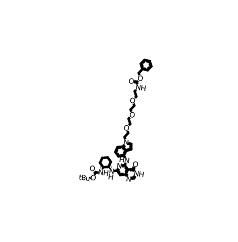 CC(C)(C)OC(=O)N[C@H]1CCCC[C@H]1Nc1cc2nc[nH]c(=O)c2c(Nc2cccc3c2ccn3CCOCCOCCOCCNC(=O)OCc2ccccc2)n1